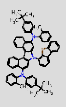 Cc1ccccc1N(c1ccc(C(C)(C)C)cc1)c1cc2c(c3ccccc13)c1c3ccccc3c(N(c3ccc(C(C)(C)C)cc3)c3ccccc3C)cc1n2-c1cccc2c1sc1ccccc12